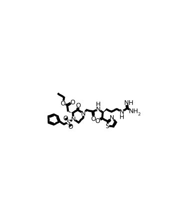 CCOC(=O)C[C@@H]1C(=O)N(CC(=O)N[C@@H](CCCNC(=N)N)C(=O)c2nccs2)CCN1S(=O)(=O)Cc1ccccc1